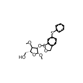 COC1[C@@H](CO)O[C@@H](OC)[C@H]1OB1OCc2ccc(Sc3ccccc3)cc21